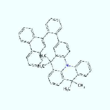 CC1(C)c2ccccc2N2c3ccc(-c4ccccc4-c4cc5ccccc5c5ccccc45)cc3C(C)(C)c3cccc1c32